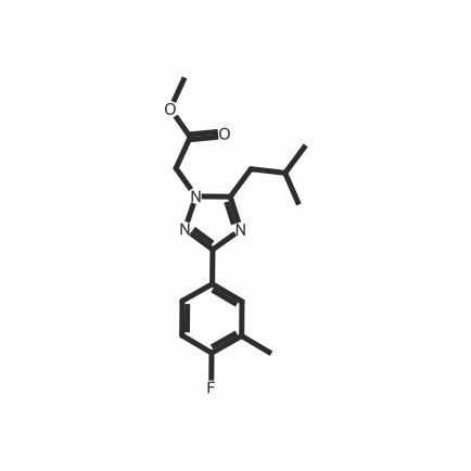 COC(=O)Cn1nc(-c2ccc(F)c(C)c2)nc1CC(C)C